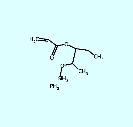 C=CC(=O)OC(CC)C(C)O[SiH3].P